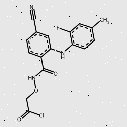 Cc1ccc(Nc2cc(C#N)ccc2C(=O)NOCC(=O)Cl)c(F)c1